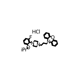 CC(C)Oc1cccc(F)c1N1CCN(CCCN2c3ccccc3Oc3ccccc32)CC1.Cl